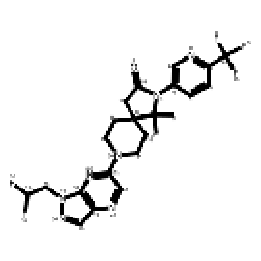 CC1(C)N(c2ccc(C(F)(F)F)nc2)C(=O)CC12CCN(c1cnc3cnn(CC(F)F)c3n1)CC2